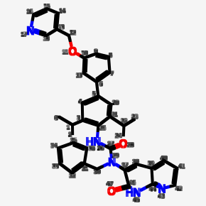 CC(C)c1cc(-c2cccc(OCc3cccnc3)c2)cc(C(C)C)c1NC(=O)N(Cc1ccccc1)c1cc2cccnc2[nH]c1=O